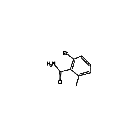 CCc1cccc(C)c1C(N)=O